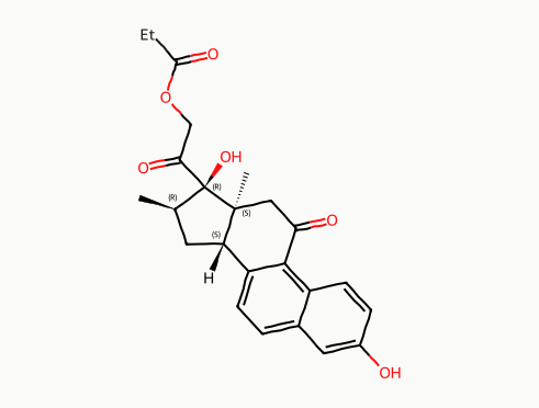 CCC(=O)OCC(=O)[C@@]1(O)[C@H](C)C[C@H]2c3ccc4cc(O)ccc4c3C(=O)C[C@@]21C